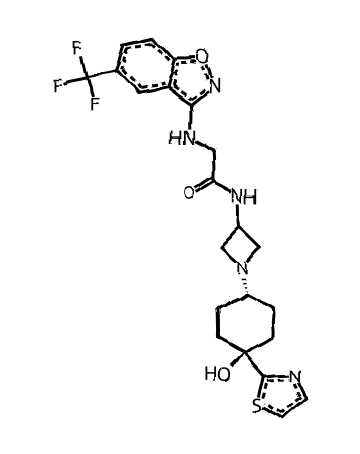 O=C(CNc1noc2ccc(C(F)(F)F)cc12)NC1CN([C@H]2CC[C@@](O)(c3nccs3)CC2)C1